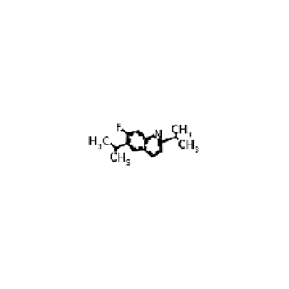 CC(C)c1ccc2cc(C(C)C)c(F)cc2n1